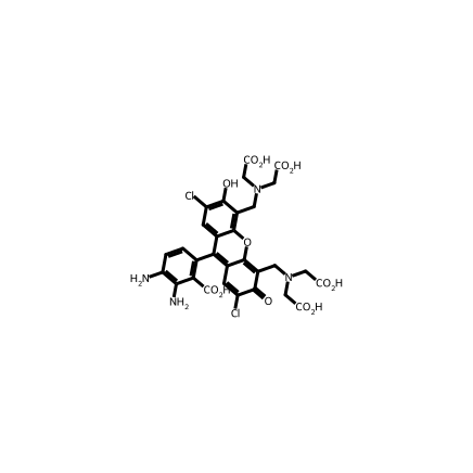 Nc1ccc(-c2c3cc(Cl)c(=O)c(CN(CC(=O)O)CC(=O)O)c-3oc3c(CN(CC(=O)O)CC(=O)O)c(O)c(Cl)cc23)c(C(=O)O)c1N